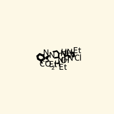 CCc1[nH]c(C(=O)N[C@@H]2CCN(c3nc4cccc(C(=O)O)c4s3)C[C@H]2NC(CC)CC)nc1Cl